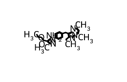 CCOC(=O)c1c(C)nn(-c2ccc(Cc3c(CC)nn4c(C)cc(C)nc34)cc2)c1N